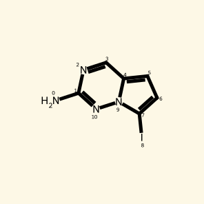 Nc1ncc2ccc(I)n2n1